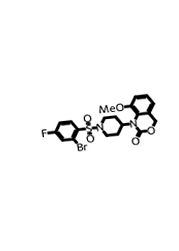 COc1cccc2c1N(C1CCN(S(=O)(=O)c3ccc(F)cc3Br)CC1)C(=O)OC2